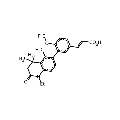 CCN1C(=O)CC(C)(C)c2c1ccc(-c1cc(/C=C/C(=O)O)ccc1OC(F)(F)F)c2C